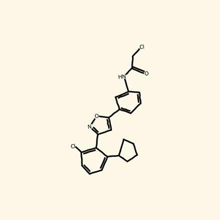 O=C(CCl)Nc1cccc(-c2cc(-c3c(Cl)cccc3C3CCCC3)no2)c1